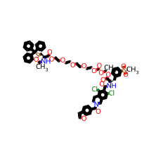 CC(=O)N[C@@H](CSC(c1ccccc1)(c1ccccc1)c1ccccc1)C(=O)OCCOCCOCCOCCOC(=O)OC(C)OC(=O)[C@H](Cc1cccc(S(C)(=O)=O)c1)NC(=O)c1c(Cl)cc2c(c1Cl)CCN(C(=O)c1ccc3ccoc3c1)C2